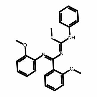 COc1ccccc1/N=C(/N=C(/Nc1ccccc1)SC)c1ccccc1OC